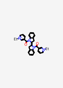 CC[n+]1cccc(C(=O)N2/C(=C3\Cc4ccccc4N3C(=O)c3ccc[n+](CC)c3)Cc3ccccc32)c1